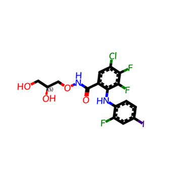 O=C(NOC[C@@H](O)CO)c1cc(Cl)c(F)c(F)c1Nc1ccc(I)cc1F